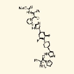 COC(=O)N[C@H](C(=O)N1CCC[C@H]1c1ncc(-c2cc(F)c(N3CCC(c4cnc([C@@H]5CCCN5C(=O)[C@@H](N)C(C)C)[nH]4)CC3)c(F)c2)[nH]1)C(C)C